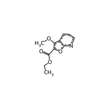 CCOC(=O)c1oc2ncccc2c1OC